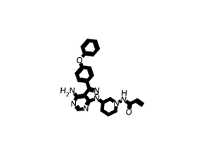 C=CC(=O)NN1CCCC(n2nc(-c3ccc(Oc4ccccc4)cc3)c3c(N)ncnc32)C1